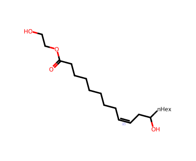 CCCCCCC(O)C/C=C\CCCCCCCC(=O)OCCO